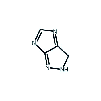 C1=NC2=NNCC2=N1